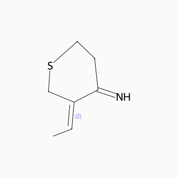 C/C=C1\CSCCC1=N